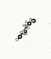 O=C(Cn1ccc(NC(=O)c2ccc(Cl)cc2)n1)Nc1ccc(-n2ccccc2=O)cc1F